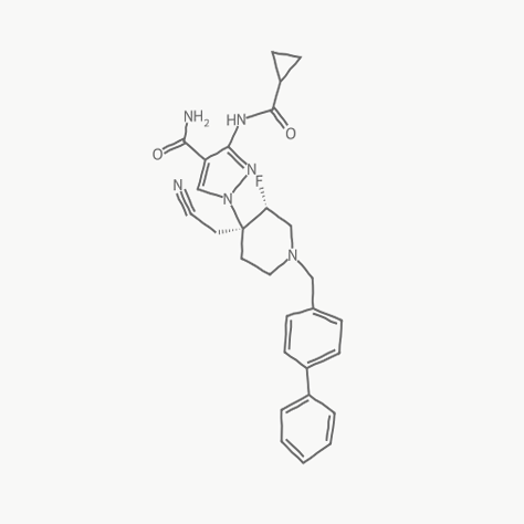 N#CC[C@@]1(n2cc(C(N)=O)c(NC(=O)C3CC3)n2)CCN(Cc2ccc(-c3ccccc3)cc2)C[C@H]1F